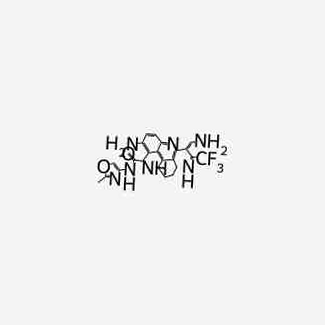 Cc1nc(NC(=O)C(=N)c2c(N)ccc3nc(/C(=C/N)C(=N)C(F)(F)F)c4c(c23)CCCC4)co1